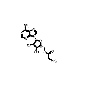 NCC(=O)OC[C@H]1O[C@@H](n2cnc3c(N)ncnc32)C(O)C1O